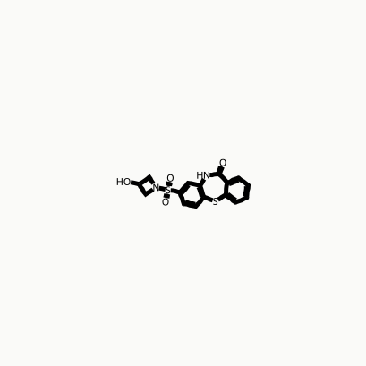 O=C1Nc2cc(S(=O)(=O)N3CC(O)C3)ccc2Sc2ccccc21